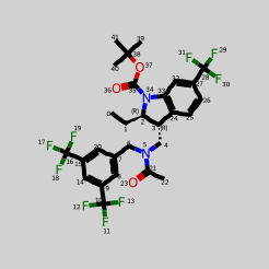 CC[C@@H]1[C@@H](CN(Cc2cc(C(F)(F)F)cc(C(F)(F)F)c2)C(C)=O)c2ccc(C(F)(F)F)cc2N1C(=O)OC(C)(C)C